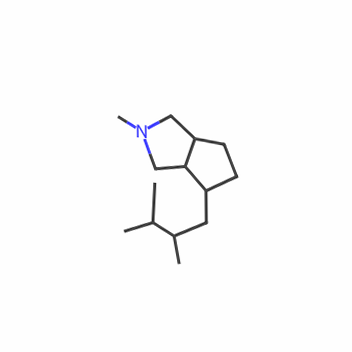 CC(C)C(C)CC1CCC2CN(C)CC12